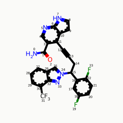 NC(=O)c1cnc2[nH]ccc2c1C#CCC(c1cc(F)ccc1F)n1cc2cccc(C(F)(F)F)c2n1